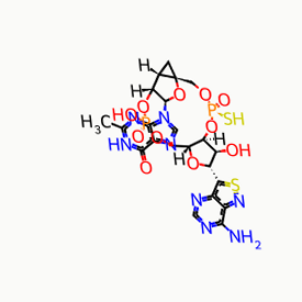 Cc1nc2c(ncn2[C@@H]2O[C@]34CO[P@@](=O)(S)O[C@H]5[C@@H](O)[C@H](c6snc7c(N)ncnc67)O[C@@H]5COP(=O)(O)O[C@@H]2[C@@H]3C4)c(=O)[nH]1